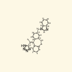 CC(=C1c2ccccc2CCc2cc(Cn3cnc4ccccc43)ccc21)c1nnn[nH]1